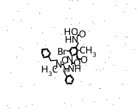 Cc1c(CNC(=O)O)cc(Br)c2nc(N[C@@H](Cc3ccccc3)C(=O)N(C)CCc3ccccc3)oc(=O)c12